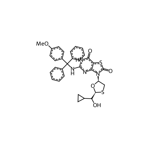 COc1ccc(C(Nc2nc3c(sc(=O)n3[C@H]3CS[C@@H](C(O)C4CC4)O3)c(=O)[nH]2)(c2ccccc2)c2ccccc2)cc1